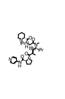 C/C(=C\[C@H](C(C)C)N(C)C(=O)[C@@H](NC(=O)[C@H]1CCCCN1C(C)C)C(C)(C)C)C(=O)N1CCC[C@H]1C(=O)Nc1ccncc1